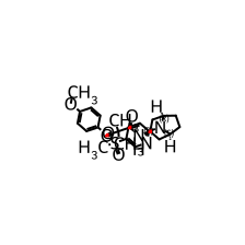 COc1ccc(OC(C)(C)C(=O)N[C@H]2C[C@H]3CC[C@@H](C2)N3c2ccc(S(C)(=O)=O)cn2)cc1